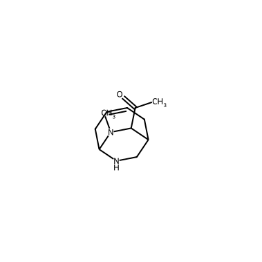 CC(=O)C1C2C/C=C\CC(NC2)N1C